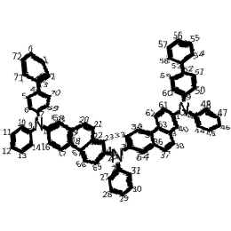 c1ccc(-c2ccc(N(c3ccccc3)c3ccc4c(ccc5cc(N(c6ccccc6)c6ccc7c(ccc8cc(N(c9ccccc9)c9ccc(-c%10ccccc%10)cc9)ccc87)c6)ccc54)c3)cc2)cc1